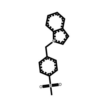 CS(=O)(=O)c1ccc(Cn2ccc3ccccc32)cc1